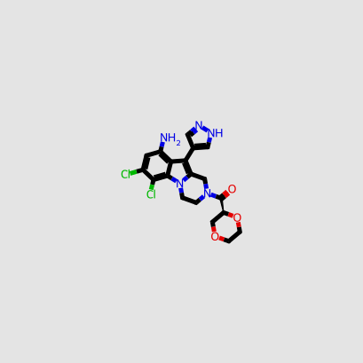 Nc1cc(Cl)c(Cl)c2c1c(-c1cn[nH]c1)c1n2CCN(C(=O)[C@@H]2COCCO2)C1